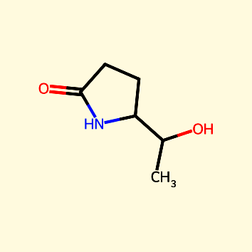 CC(O)C1CCC(=O)N1